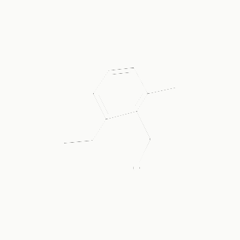 CCc1cccc(C)c1C[O]